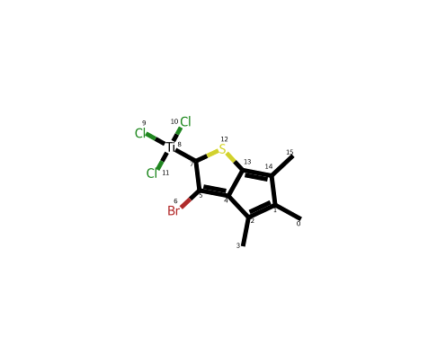 CC1=C(C)C2=C(Br)[CH]([Ti]([Cl])([Cl])[Cl])SC2=C1C